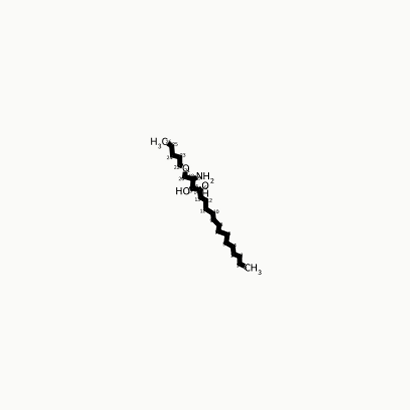 CCCCCCCCCCCCCCC(O)C(O)C(N)COCCCCC